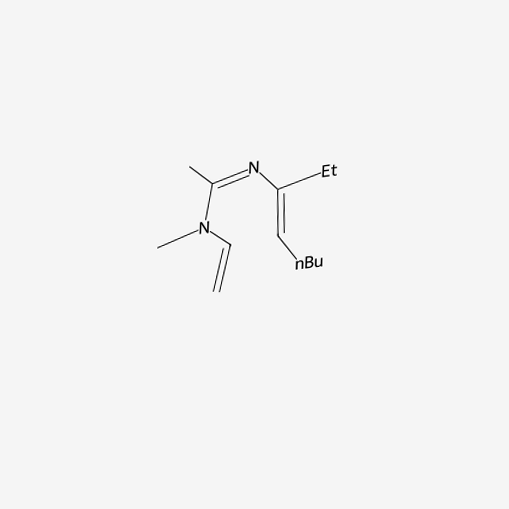 C=CN(C)/C(C)=N\C(=CCCCC)CC